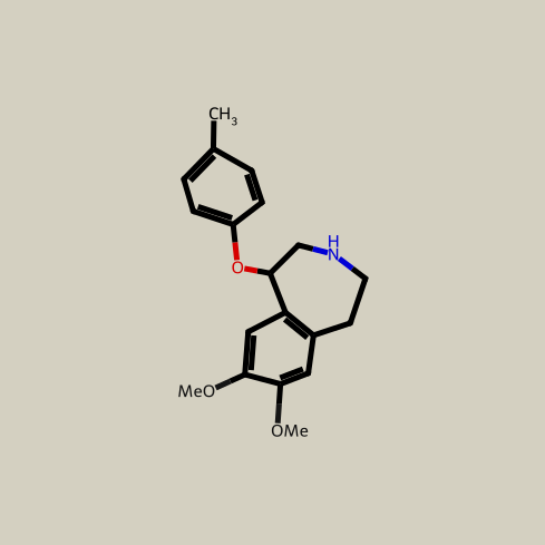 COc1cc2c(cc1OC)C(Oc1ccc(C)cc1)CNCC2